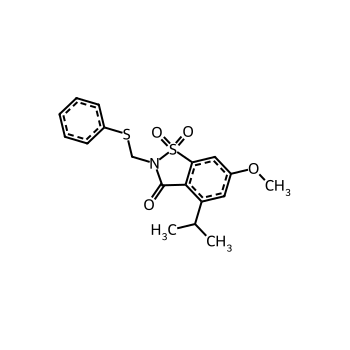 COc1cc(C(C)C)c2c(c1)S(=O)(=O)N(CSc1ccccc1)C2=O